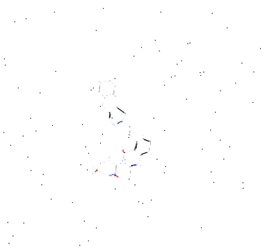 Cc1nc2cccc(CCc3ccc(CN4CCOCC4)cn3)c2c(=O)n1C1CCC(=O)NC1=O